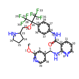 COc1cc(CNc2ncccc2C(=O)Nc2ccc(C(OCC3CCCN3)(C(F)(F)F)C(F)(F)F)cc2)ccn1